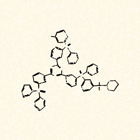 CC(C)(C)c1cccc(P(=O)(c2ccccc2)c2cccc(-c3nc(-c4cccc(P(=O)(c5ccccc5)c5ccccc5)c4)nc(-c4cccc(P(=O)(c5ccccc5)c5cccc(C(C)(C)C6CCCCC6)c5)c4)n3)c2)c1